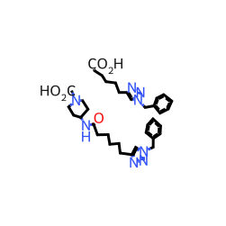 O=C(CCCCCc1cn(Cc2ccccc2)nn1)NC1CCN(C(=O)O)CC1.O=C(O)CCCCCc1cn(Cc2ccccc2)nn1